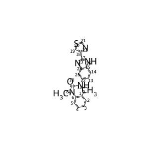 Cc1ccccc1N(C)C(=O)Nc1ccc2[nH]c(-c3cscn3)nc2c1